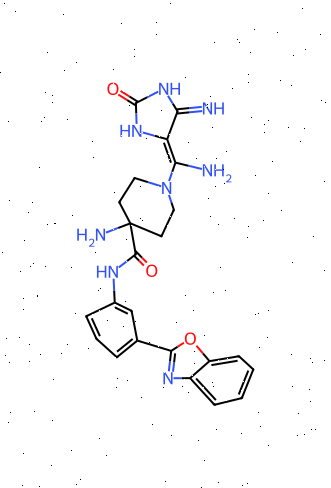 N=C1NC(=O)N/C1=C(/N)N1CCC(N)(C(=O)Nc2cccc(-c3nc4ccccc4o3)c2)CC1